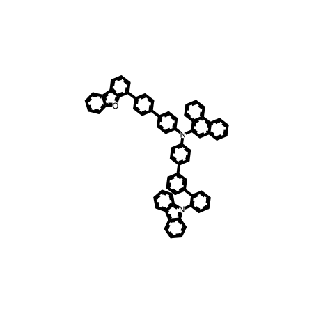 c1cc(-c2ccc(N(c3ccc(-c4ccc(-c5cccc6c5oc5ccccc56)cc4)cc3)c3cc4ccccc4c4ccccc34)cc2)cc(-c2ccccc2-n2c3ccccc3c3ccccc32)c1